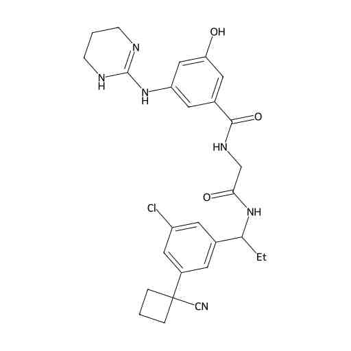 CCC(NC(=O)CNC(=O)c1cc(O)cc(NC2=NCCCN2)c1)c1cc(Cl)cc(C2(C#N)CCC2)c1